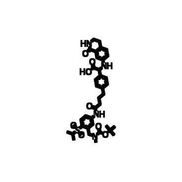 CC(C)S(=O)(=O)c1ccc(NC(=O)CCCc2ccc(C(Nc3ccc4c(c3)C(=O)NCC4)C(=O)O)cc2)cc1CN(C)C(=O)OC(C)(C)C